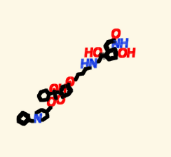 O=C(OCC1CCN(Cc2ccccc2)CC1)C(O)(c1cccc(OCCCCCNC[C@H](O)c2ccc(O)c3[nH]c(=O)ccc23)c1)C1CCCCC1